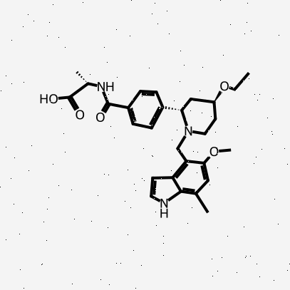 CCO[C@H]1CCN(Cc2c(OC)cc(C)c3[nH]ccc23)[C@H](c2ccc(C(=O)N[C@@H](C)C(=O)O)cc2)C1